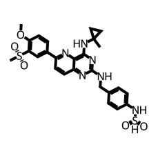 COc1ccc(-c2ccc3nc(NCc4ccc(N[SH](=O)=O)cc4)nc(NC4(C)CC4)c3n2)cc1S(C)(=O)=O